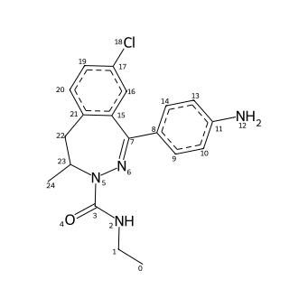 CCNC(=O)N1N=C(c2ccc(N)cc2)c2cc(Cl)ccc2CC1C